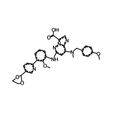 COc1ccc(CN(C)c2cc(Nc3cccc(-c4ccc(C5OCCO5)cn4)c3OC)nn3c(C(=O)O)cnc23)cc1